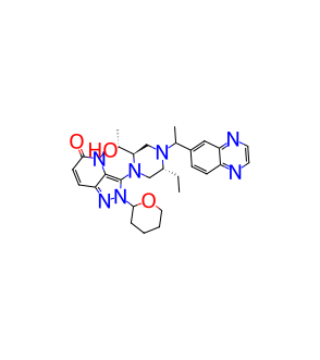 CC[C@@H]1CN(c2c3c(ccc(=O)n3C)nn2C2CCCCO2)[C@@H]([C@@H](C)O)CN1C(C)c1ccc2nccnc2c1